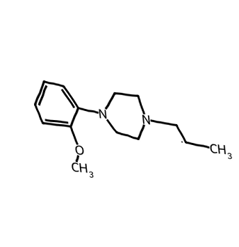 C[CH]CN1CCN(c2ccccc2OC)CC1